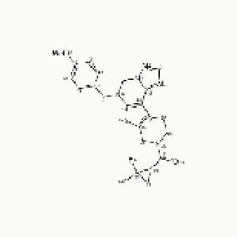 COc1ccc(CN2Cn3ncnc3-c3c2sc2c3CCN(C(=O)C3CC3(F)F)C2)cc1